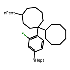 CCCCCCCc1ccc(C2(C3CCCCCCC3)CCCCC(CCCCC)CC2)c(F)c1